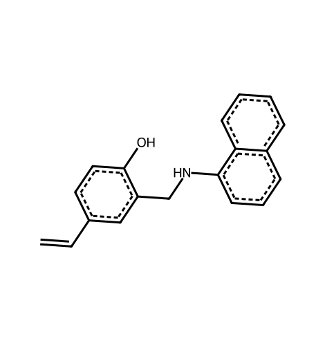 C=Cc1ccc(O)c(CNc2cccc3ccccc23)c1